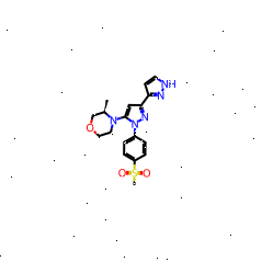 C[C@@H]1COCCN1c1cc(-c2cc[nH]n2)nn1-c1ccc(S(C)(=O)=O)cc1